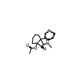 CNC(=S)C1(c2cccnc2)CCCCC1(C#N)OC(C)=O